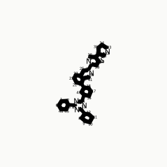 c1ccc(-c2nc(-c3ccccc3)nc(-c3cccc(-c4cccc5cc(-c6cc7sc8ncccc8c7cn6)ncc45)c3)n2)cc1